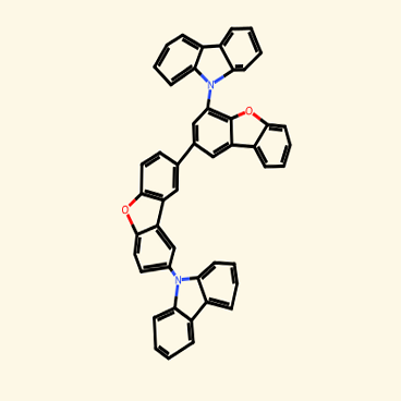 c1ccc2c(c1)oc1c(-n3c4ccccc4c4ccccc43)cc(-c3ccc4oc5ccc(-n6c7ccccc7c7ccccc76)cc5c4c3)cc12